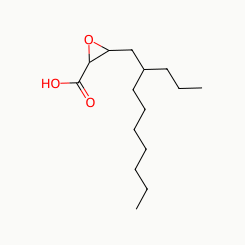 CCCCCCCC(CCC)CC1OC1C(=O)O